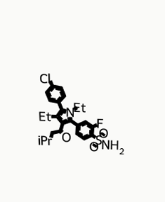 CCc1c(C(=O)CC(C)C)c(-c2ccc(S(N)(=O)=O)c(F)c2)n(CC)c1-c1ccc(Cl)cc1